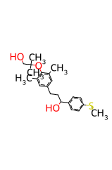 CSc1ccc(C(O)CCc2cc(C)c(OC(C)(C)CO)c(C)c2)cc1